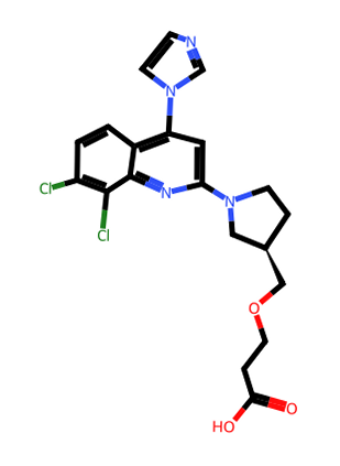 O=C(O)CCOC[C@@H]1CCN(c2cc(-n3ccnc3)c3ccc(Cl)c(Cl)c3n2)C1